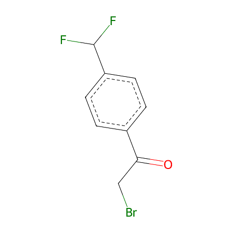 O=C(CBr)c1ccc(C(F)F)cc1